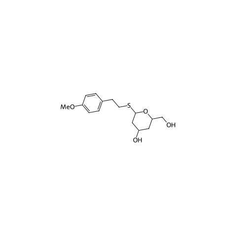 COc1ccc(CCSC2CC(O)CC(CO)O2)cc1